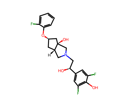 Oc1c(F)cc([C@@H](O)CN2C[C@@H]3C[C@@H](Oc4ccccc4F)C[C@]3(O)C2)cc1F